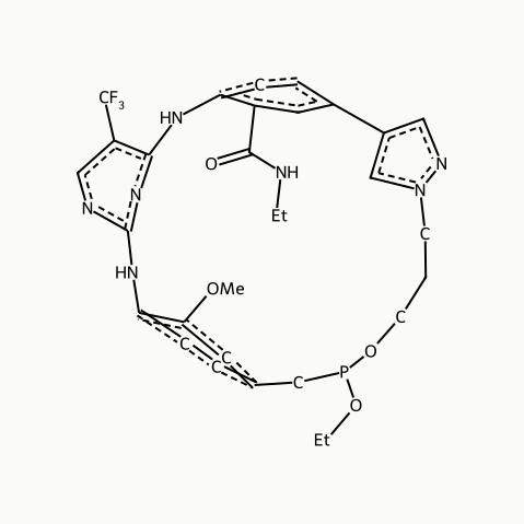 CCNC(=O)c1cc2ccc1Nc1nc(ncc1C(F)(F)F)Nc1ccc(cc1OC)CP(OCC)OCCCn1cc-2cn1